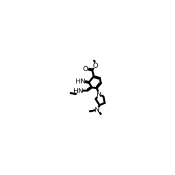 CCN/C=C1\C(=N)C(C(=O)OC)=CC=C1N1CCC(N(C)C)C1